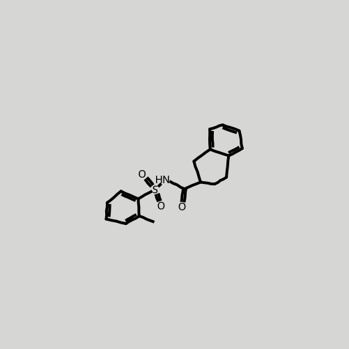 Cc1ccccc1S(=O)(=O)NC(=O)C1CCc2ccccc2C1